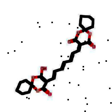 O=C1OC2(CCCCC2)OC(=O)C1=C/C=C/C=C/C=C/C1=C(O)OC2(CCCCC2)OC1=O